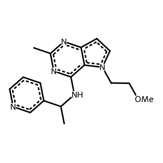 COCCn1ccc2nc(C)nc(NC(C)c3cccnc3)c21